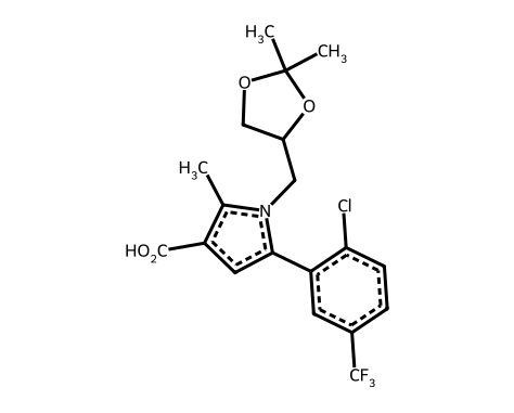 Cc1c(C(=O)O)cc(-c2cc(C(F)(F)F)ccc2Cl)n1CC1COC(C)(C)O1